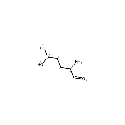 N[C@H](C=O)CCB(O)O